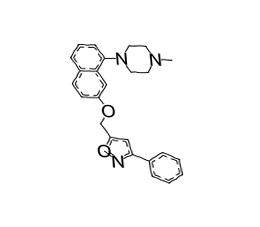 CN1CCN(c2cccc3ccc(OCc4cc(-c5ccccc5)no4)cc23)CC1